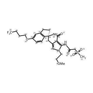 COCCn1nc2c(c1NC(=O)CS(C)(=O)=O)C(=O)N[C@@]1(CCc3cc(OCCCC(F)(F)F)ccc31)C2